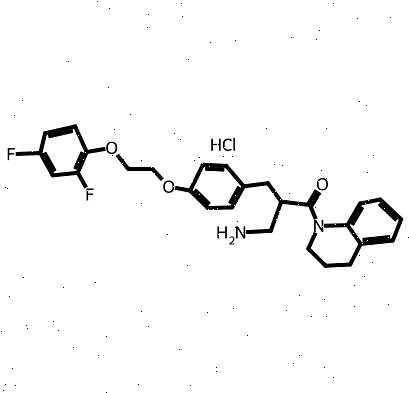 Cl.NCC(Cc1ccc(OCCOc2ccc(F)cc2F)cc1)C(=O)N1CCCc2ccccc21